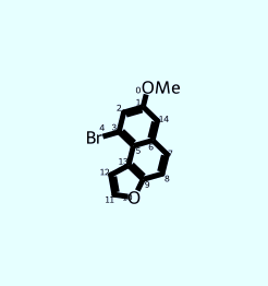 COc1cc(Br)c2c(ccc3occc32)c1